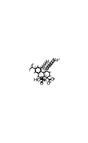 CC(C)c1ccc2c(c1)CC[C@H]1[C@@](CS(=O)(=O)O)(C(=O)[O-])CCC[C@]21C.O.O.O.O.O.[Na+]